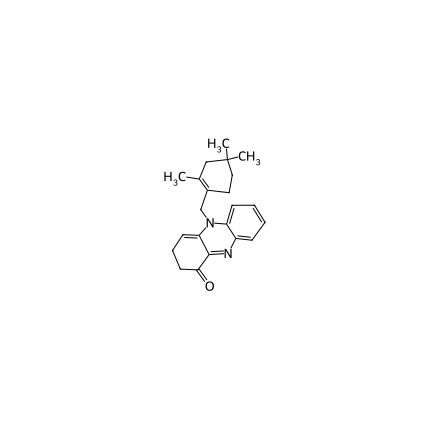 CC1=C(CN2C3=CCCC(=O)C3=Nc3ccccc32)CCC(C)(C)C1